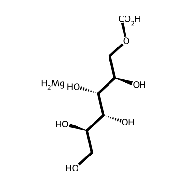 O=C(O)OC[C@@H](O)[C@@H](O)[C@H](O)[C@H](O)CO.[MgH2]